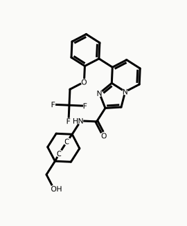 O=C(NC12CCC(CO)(CC1)CC2)c1cn2cccc(-c3ccccc3OCC(F)(F)F)c2n1